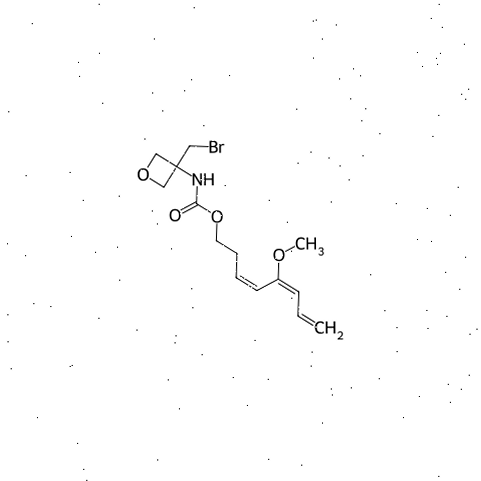 C=C/C=C(\C=C/CCOC(=O)NC1(CBr)COC1)OC